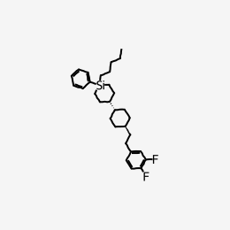 CCCCC[Si]1(c2ccccc2)CCC([C@H]2CC[C@H](CCc3ccc(F)c(F)c3)CC2)CC1